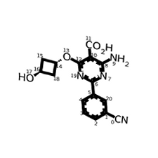 N#Cc1cccc(-c2nc(N)c(C(=O)O)c(O[C@H]3C[C@H](O)C3)n2)c1